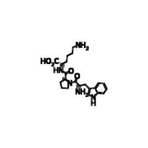 NCCCC[C@H](NC(=O)[C@@H]1CCCN1C(=O)[C@@H](N)Cc1c[nH]c2ccccc12)C(=O)O